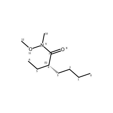 CCCC[C@H](CC)C(=O)N(C)OC